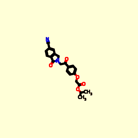 CC(C)OC(=O)COc1ccc(C(=O)CN2Cc3cc(C#N)ccc3C2=O)cc1